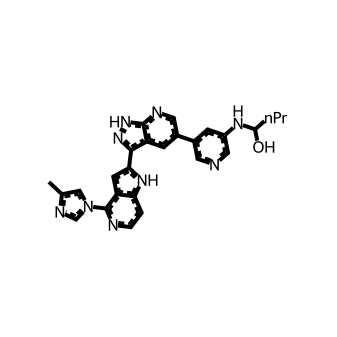 CCCC(O)Nc1cncc(-c2cnc3[nH]nc(-c4cc5c(-n6cnc(C)c6)nccc5[nH]4)c3c2)c1